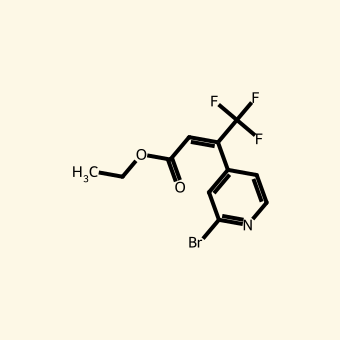 CCOC(=O)/C=C(\c1ccnc(Br)c1)C(F)(F)F